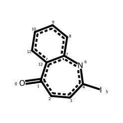 O=c1ccc(I)nc2ccccc12